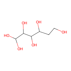 OCCC(O)C(O)C(O)C(O)O